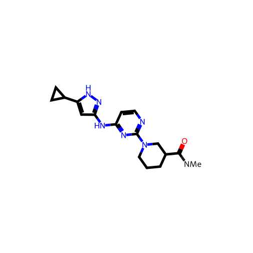 CNC(=O)C1CCCN(c2nccc(Nc3cc(C4CC4)[nH]n3)n2)C1